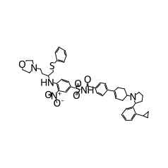 O=C(NS(=O)(=O)c1ccc(NC(CCN2CCOCC2)CSc2ccccc2)c([N+](=O)[O-])c1)c1ccc(C2=CCC(N3CCCC3c3ccccc3C3CC3)CC2)cc1